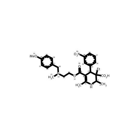 CCC1(C(=O)O)C(C)NC(C)=C(C(=O)OCCN(C)Cc2ccc(OC)cc2)C1c1cccc([N+](=O)[O-])c1